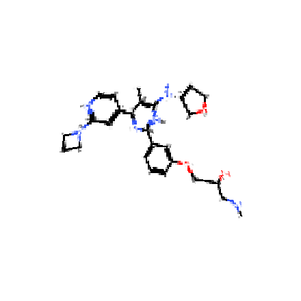 CNCC(O)COc1cccc(-c2nc(N[C@@H]3CCOC3)c(C)c(-c3ccnc(N4CCC4)c3)n2)c1